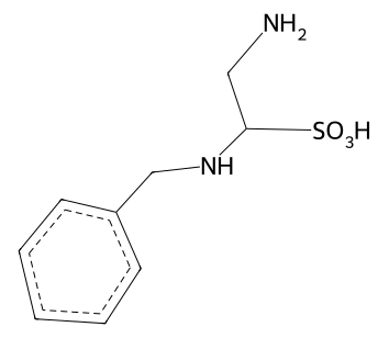 NCC(NCc1ccccc1)S(=O)(=O)O